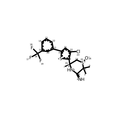 CC1(C)C(=N)N[C@](C)(c2sc(-c3cccc(C(F)(F)F)c3)cc2Cl)C[S+]1[O-]